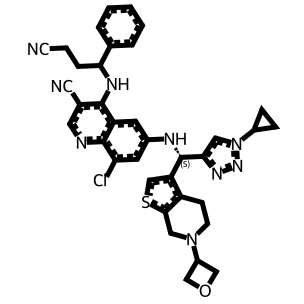 N#CCCC(Nc1c(C#N)cnc2c(Cl)cc(N[C@H](c3cn(C4CC4)nn3)c3csc4c3CCN(C3COC3)C4)cc12)c1ccccc1